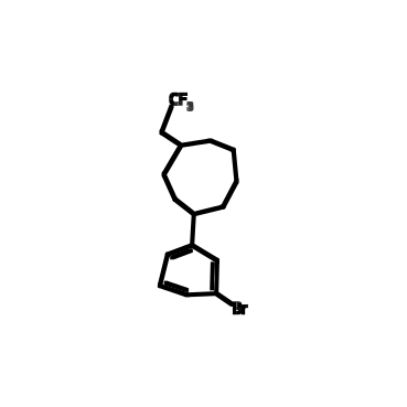 FC(F)(F)CC1CCCCC(c2cccc(Br)c2)CC1